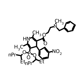 CCCC(CC)OP(=O)(OC(CC)CCC)C1=C(C)NC(C)=C(C(=O)OCCN(C)Cc2ccccc2)C1c1cccc([N+](=O)[O-])c1